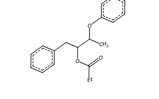 CCC(=O)OC(Cc1ccccc1)C(C)Oc1ccccc1